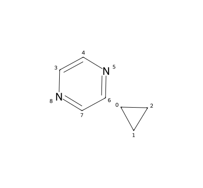 C1CC1.c1cnccn1